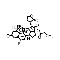 CCC(=O)O[C@]1(C(=O)S[C@H]2CCOC2=O)CC[C@H]2[C@@H]3C[C@H](F)C4=CC(=O)C=C(C)[C@]4(C)[C@@]3(F)[C@@H](O)C[C@@]21C